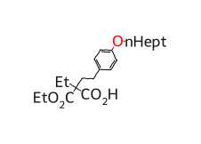 CCCCCCCOc1ccc(CCC(CC)(C(=O)O)C(=O)OCC)cc1